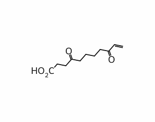 C=CC(=O)CCCCC(=O)CCC(=O)O